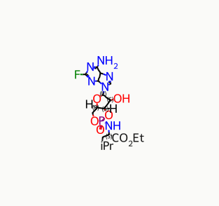 CCOC(=O)[C@H](CC(C)C)NP1(=O)OC[C@H]2O[C@@H](N3C=NC4C(N)=NC(F)=NC43)[C@@H](O)[C@@H]2O1